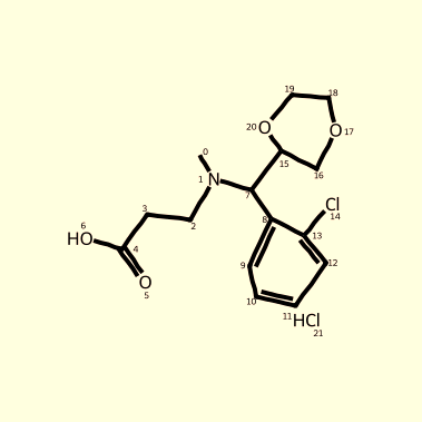 CN(CCC(=O)O)C(c1ccccc1Cl)C1COCCO1.Cl